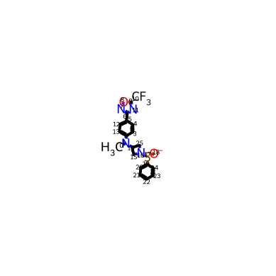 CN(c1ccc(-c2noc(C(F)(F)F)n2)cc1)C1CN([S+]([O-])c2ccccc2)C1